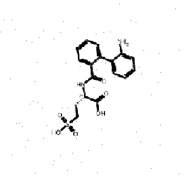 Nc1ccccc1-c1ccccc1C(=O)N[C@@H](CCS(=O)(=O)O)C(=O)O